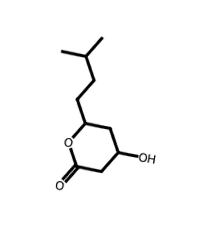 CC(C)CCC1CC(O)CC(=O)O1